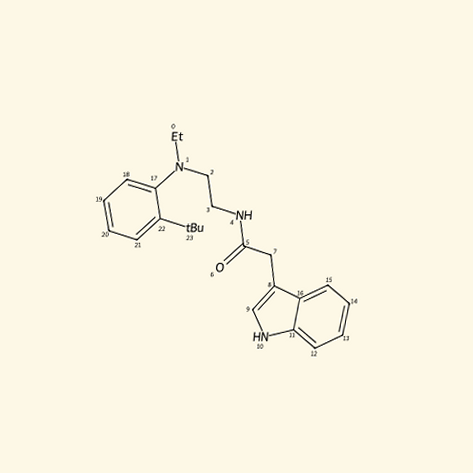 CCN(CCNC(=O)Cc1c[nH]c2ccccc12)c1ccccc1C(C)(C)C